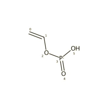 C=CO[P](=O)O